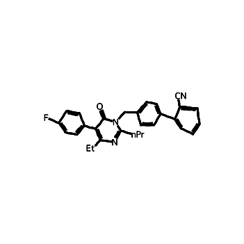 CCCc1nc(CC)c(-c2ccc(F)cc2)c(=O)n1Cc1ccc(-c2ccccc2C#N)cc1